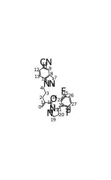 C=C(CCCn1ncc2cc(C#N)ccc21)C(=O)N1N=CCC1c1cc(F)ccc1F